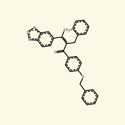 O=C(O)/C(=C(\Cc1ccccc1)C(=O)c1ccc(OCc2ccccc2)cc1)c1ccc2nsnc2c1